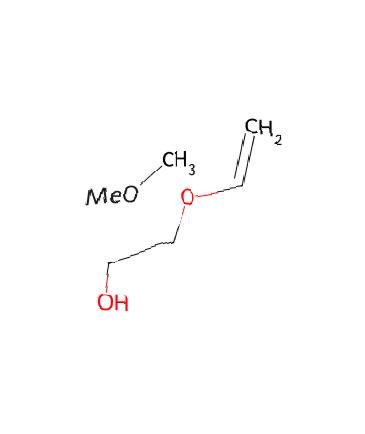 C=COCCO.COC